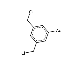 CC(=O)c1cc(CCl)cc(CCl)c1